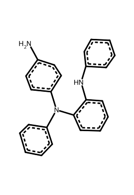 Nc1ccc(N(c2ccccc2)c2ccccc2Nc2ccccc2)cc1